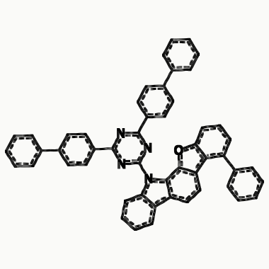 c1ccc(-c2ccc(-c3nc(-c4ccc(-c5ccccc5)cc4)nc(-n4c5ccccc5c5ccc6c(oc7cccc(-c8ccccc8)c76)c54)n3)cc2)cc1